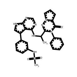 CC(Nc1ncnc2[nH]cc(-c3c[c]cc(NS(C)(=O)=O)c3)c12)c1nn2cccc2c(=O)n1-c1ccccc1